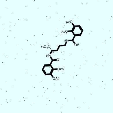 CC(=O)Oc1cccc(C(=O)N[C@@H](CCCNC(O)c2cccc(OC(C)=O)c2OC(C)=O)C(=O)O)c1OC(C)=O